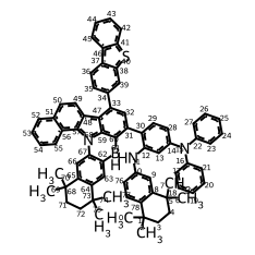 CC1(C)CCC(C)(C)c2cc(Nc3cc(N(c4ccccc4)c4ccccc4)ccc3-c3cc(-c4ccc5c(c4)sc4ccccc45)c4c5ccc6ccccc6c5n5c4c3Bc3cc4c(cc3-5)C(C)(C)CCC4(C)C)ccc21